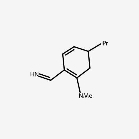 CNC1=C(C=N)C=CC(C(C)C)C1